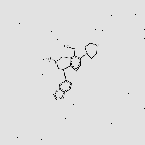 COc1c(N2CCOCC2)ccc2c1CN(C)CC2c1ccc2sccc2c1